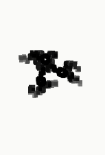 COC(=O)[C@@]1(O)C[C@@H](O)[C@H](OC(=O)/C=C/c2ccc(OC)c(OC)c2)[C@H](OC(=O)/C=C/c2ccc(OC)c(O)c2)C1